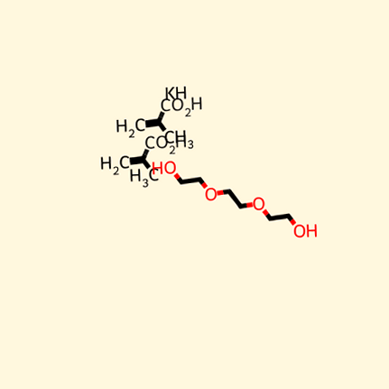 C=C(C)C(=O)O.C=C(C)C(=O)O.OCCOCCOCCO.[KH]